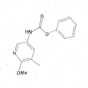 COc1ncc(NC(=O)Oc2ccccc2)cc1C